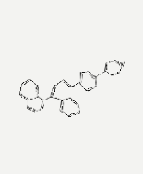 c1ccc2c(-c3ccc(-c4ccc(-c5ccncc5)cc4)c4ccccc34)cccc2c1